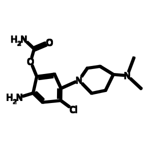 CN(C)C1CCN(c2cc(OC(N)=O)c(N)cc2Cl)CC1